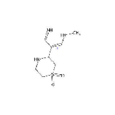 CN/C=C(\C=N)C1CS(=O)(=O)CCN1